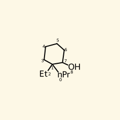 CCCC1(CC)CCCCC1O